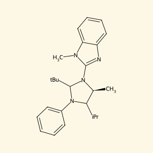 CC(C)C1[C@H](C)N(c2nc3ccccc3n2C)C(C(C)(C)C)N1c1ccccc1